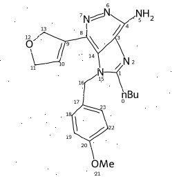 CCCCc1nc2c(N)nnc(C3=CCOC3)c2n1Cc1ccc(OC)cc1